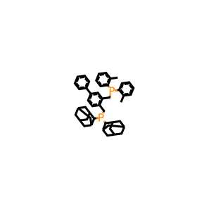 Cc1ccccc1P(Cc1cc(-c2ccccc2)ccc1CP(C1C2CC3CC(C2)CC1C3)C1C2CC3CC(C2)CC1C3)c1ccccc1C